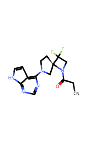 N#CCC(=O)N1CC(F)(F)[C@]12CCN(c1ncnc3[nH]ccc13)C2